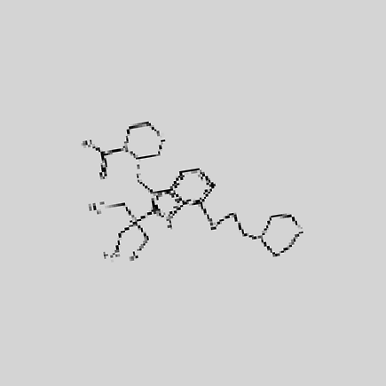 CC[Si](CC)(CC)c1[nH]c2c(OCCN3CCOCC3)cccc2c1C[C@H]1COCCN1C(=O)O